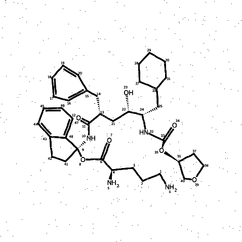 NCCC[C@@H](N)C(=O)O[C@@]1(NC(=O)[C@H](Cc2ccccc2)C[C@H](O)[C@H](CC2CCCCC2)NC(=O)O[C@H]2CCOC2)CCc2ccccc21